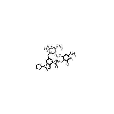 Cc1cc(C)c(CNC(=O)c2cc(CN(C)CCN(C)C)cc3c2cnn3C2CCCC2)c(=O)[nH]1